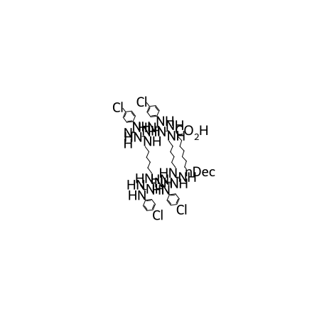 CCCCCCCCCCCCCCCCCC(=O)O.N=C(NCCCCCCNC(=N)NC(=N)Nc1ccc(Cl)cc1)NC(=N)Nc1ccc(Cl)cc1.N=C(NCCCCCCNC(=N)NC(=N)Nc1ccc(Cl)cc1)NC(=N)Nc1ccc(Cl)cc1